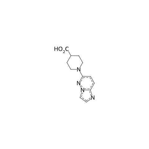 O=C(O)C1CCN(c2ccc3nccn3n2)CC1